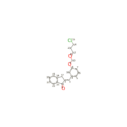 O=C1/C(=C/c2cccc(OCOCCCCl)c2)Cc2ccccc21